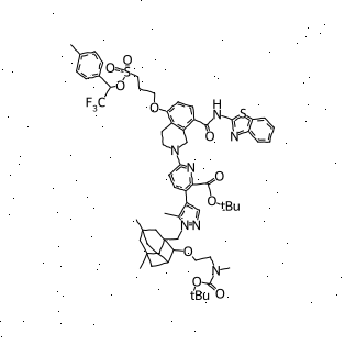 Cc1ccc(C(OS(=O)(=O)CCCOc2ccc(C(=O)Nc3nc4ccccc4s3)c3c2CCN(c2ccc(-c4cnn(CC56CC7(C)CC(CC(C)(C7)C5)C6OCCN(C)C(=O)OC(C)(C)C)c4C)c(C(=O)OC(C)(C)C)n2)C3)C(F)(F)F)cc1